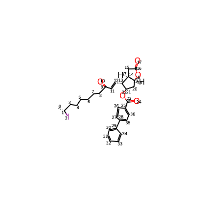 C[C@@H](I)CCCCCCC(=O)/C=C/[C@@H]1[C@H]2CC(=O)O[C@H]2C[C@H]1OC(=O)c1ccc(-c2ccccc2)cc1